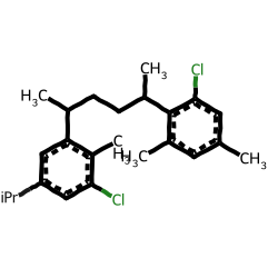 Cc1cc(C)c(C(C)CCC(C)c2cc(C(C)C)cc(Cl)c2C)c(Cl)c1